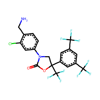 NCc1ccc(N2CC(c3cc(C(F)(F)F)cc(C(F)(F)F)c3)(C(F)(F)F)OC2=O)cc1Cl